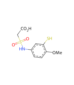 COc1ccc(NS(=O)(=O)CC(=O)O)cc1S